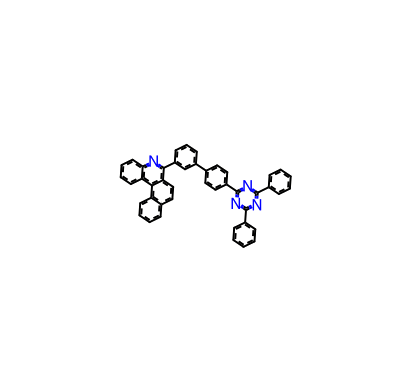 c1ccc(-c2nc(-c3ccccc3)nc(-c3ccc(-c4cccc(-c5nc6ccccc6c6c5ccc5ccccc56)c4)cc3)n2)cc1